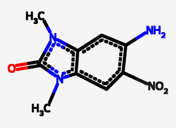 Cn1c(=O)n(C)c2cc([N+](=O)[O-])c(N)cc21